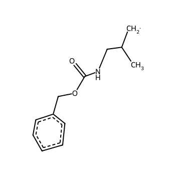 [CH2]C(C)CNC(=O)OCc1ccccc1